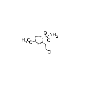 COc1ccc(S(N)(=O)=O)c(CCCl)c1